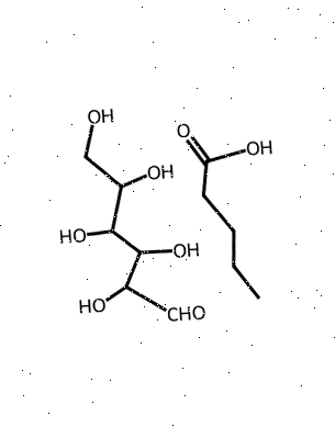 CCCCC(=O)O.O=CC(O)C(O)C(O)C(O)CO